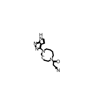 N#CCC(=O)N1CCCCN(c2ncnc3[nH]ccc23)CCCC1